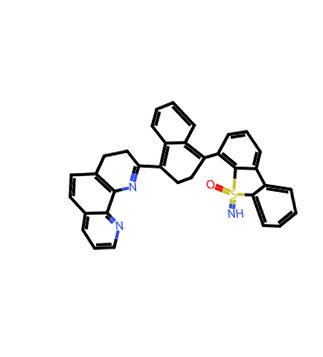 N=S1(=O)c2ccccc2-c2cccc(C3=c4ccccc4=C(C4=Nc5c(ccc6cccnc56)CC4)CC3)c21